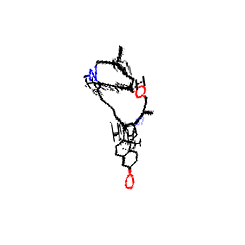 C/C1=C2\C[C@H]3[C@@H](CCC4=CC(=O)CC[C@@]43C)[C@@H]2CC[C@H](C)[C@H]2[C@@H](C[C@H](C)CN2C)OC1